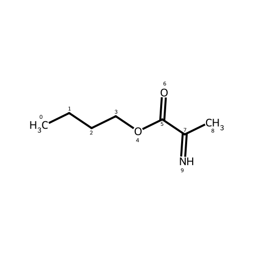 CCCCOC(=O)C(C)=N